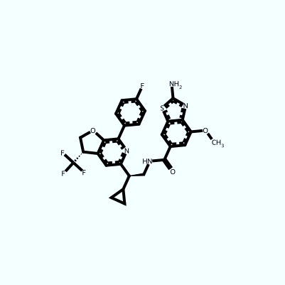 COc1cc(C(=O)NC[C@H](c2cc3c(c(-c4ccc(F)cc4)n2)OC[C@H]3C(F)(F)F)C2CC2)cc2sc(N)nc12